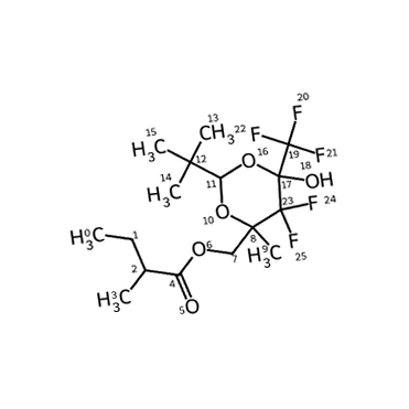 CCC(C)C(=O)OCC1(C)OC(C(C)(C)C)OC(O)(C(F)(F)F)C1(F)F